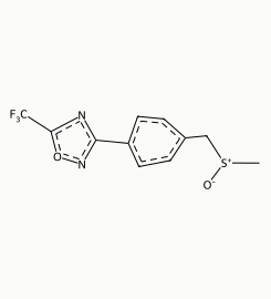 C[S+]([O-])Cc1ccc(-c2noc(C(F)(F)F)n2)cc1